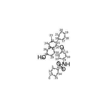 Cc1ccc(S(=O)(=O)Nc2ccc(Oc3c(-c4ccccc4)c(C)cc4cc(O)ccc34)cc2)cc1